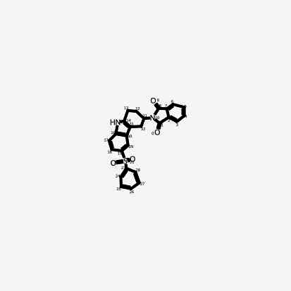 O=C1c2ccccc2C(=O)N1C1CCc2[nH]c3ccc(S(=O)(=O)c4ccccc4)cc3c2C1